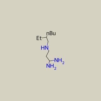 CCCCC(CC)CNCCC(N)N